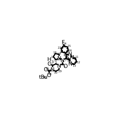 CC1CN(C(=O)N(c2cnn3cccnc23)N2CCC[C@@H]2c2cc(F)ccc2F)CCN1C(=O)OC(C)(C)C